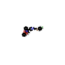 CCc1c(C2CCN(CCCSc3ccc(F)cc3)CC2)c2ccccc2n1S(=O)(=O)c1ccccc1